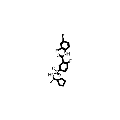 C[C@@H](NS(=O)(=O)c1ccc(F)c(C(=O)Nc2ccc(F)cc2F)c1)C1CCCC1